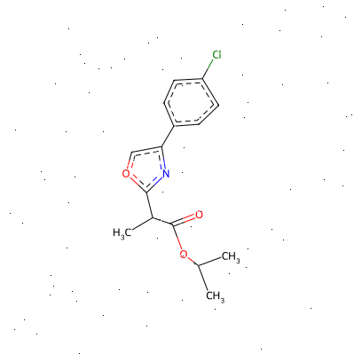 CC(C)OC(=O)C(C)c1nc(-c2ccc(Cl)cc2)co1